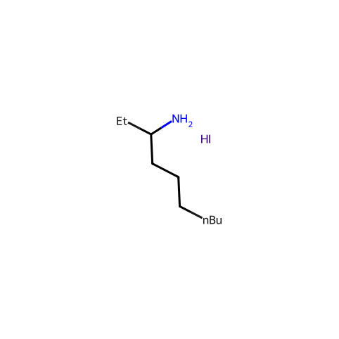 CCCCCCCC(N)CC.I